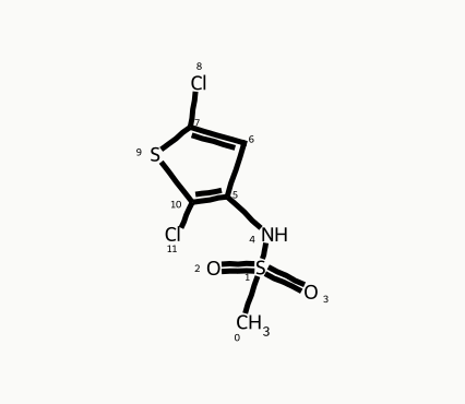 CS(=O)(=O)Nc1cc(Cl)sc1Cl